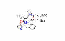 CC[C@H](C)C[C@@H](CC(=O)N1CCC[C@H]1[C@H](OC)[C@@H](C)C(=O)NC(Cc1ccccc1)c1nccs1)OC